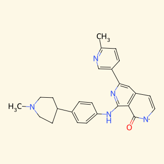 Cc1ccc(-c2cc3c(c(Nc4ccc(C5CCN(C)CC5)cc4)n2)C(=O)[N]C=C3)cn1